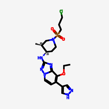 CCOc1c(-c2cn[nH]c2)ccn2nc(N[C@H]3CCN(S(=O)(=O)CCCCl)C[C@H]3C)nc12